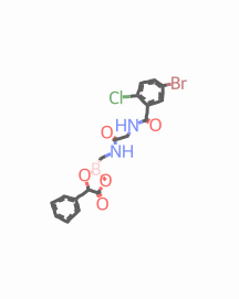 O=C(CNC(=O)c1cc(Br)ccc1Cl)NCB1OC(=O)C(c2ccccc2)O1